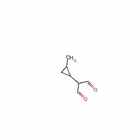 CC1CC1C(C=O)C=O